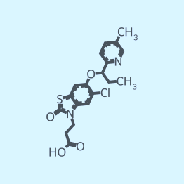 CCC(Oc1cc2sc(=O)n(CCC(=O)O)c2cc1Cl)c1ccc(C)cn1